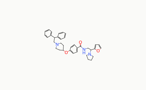 O=C(NCC(c1ccco1)N1CCCC1)c1ccc(OC2CCN(CC(c3ccccc3)c3ccccc3)CC2)cc1